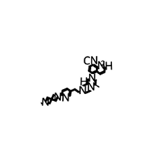 [2H]c1ccc2c(N3C[C@@H]4CN(CCc5ccc(N6CC7(CN(C)C7)C6)nc5)CCN4[C@H](C)C3)ccc(C#N)c2n1